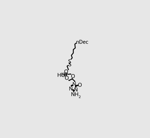 CCCCCCCCCCCCCCCCSSCCO[PH]1(O)COC(Cn2cnc(N)nc2=O)CO1